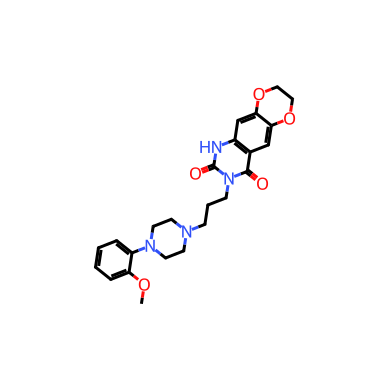 COc1ccccc1N1CCN(CCCn2c(=O)[nH]c3cc4c(cc3c2=O)OCCO4)CC1